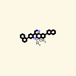 CC1(C)c2ccc(-c3ccc4ccccc4c3)cc2-c2nccc3c2c1nc1cc(-c2cccc4ccccc24)ccc13